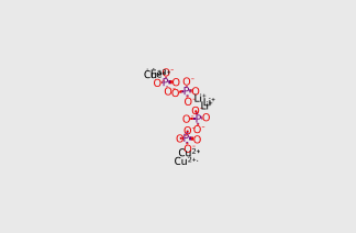 O=P([O-])([O-])[O-].O=P([O-])([O-])[O-].O=P([O-])([O-])[O-].O=P([O-])([O-])[O-].[Cu+2].[Cu+2].[Cu+2].[Fe+3].[Li+].[Li+].[Li+]